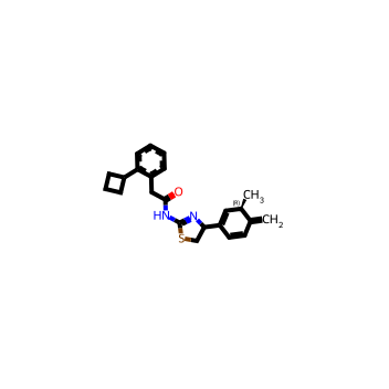 C=C1C=CC(C2CSC(NC(=O)Cc3ccccc3C3CCC3)=N2)=C[C@H]1C